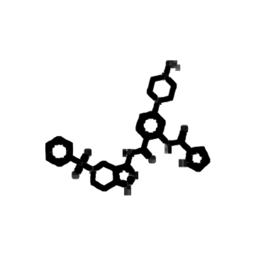 CN1CCN(c2ccc(C(=O)Nc3n[nH]c4c3CN(S(=O)(=O)c3ccccc3)CC4)c(NC(=O)c3ccc[nH]3)c2)CC1